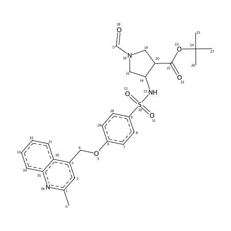 Cc1cc(COc2ccc(S(=O)(=O)NC3CN(C=O)CC3C(=O)OC(C)(C)C)cc2)c2ccccc2n1